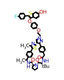 Cc1ncsc1-c1ccc([C@H](C)NC(=O)[C@@H]2CCCN2C(=O)C(NC(=O)Cc2ccc(-c3ccn(CCOc4ccc(Oc5c(-c6ccc(F)cc6)sc6cc(O)ccc56)cc4)n3)cc2)C(C)(C)C)cc1